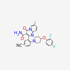 Cc1ccc2nc(-c3cc(C#N)ccc3N3CCC(Oc4ccc(F)cc4F)CC3)c(C(N)=O)c(=O)n2c1